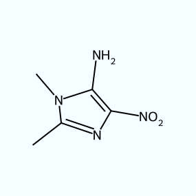 Cc1nc([N+](=O)[O-])c(N)n1C